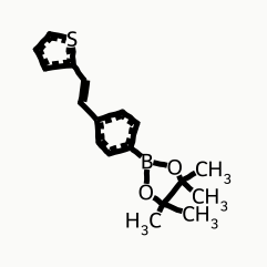 CC1(C)OB(c2ccc(C=Cc3cccs3)cc2)OC1(C)C